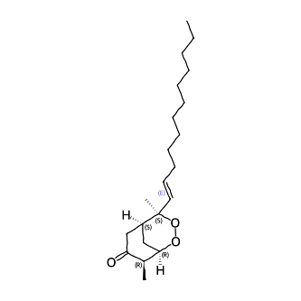 CCCCCCCCCC/C=C/[C@@]1(C)OO[C@@H]2C[C@H]1CC(=O)[C@@H]2C